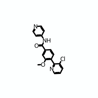 COc1cc(C(=O)Nc2ccncc2)ccc1-c1ncccc1Cl